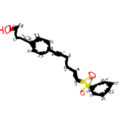 O=S(=O)(CCCCC#Cc1ccc(CCO)cc1)c1ccccc1